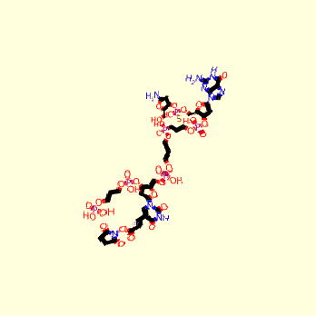 Nc1nc2c(ncn2[C@H]2CC(OP(=O)(O)OCCCP(=O)(O)OCCCOP(=O)(O)OCC3OC(n4cc(/C=C/C(=O)ON5C(=O)CCC5=O)c(=O)[nH]c4=O)CC3OP(=O)(O)OCCCOP(=O)(O)O)[C@@H](COP(O)(=S)OC3C[C@H](N)O[C@@H]3CO)O2)c(=O)[nH]1